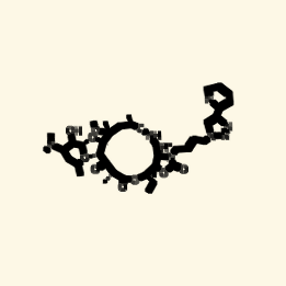 CC[C@H]1OC(=O)[C@H](C)C(=O)[C@H](C)[C@@H](O[C@@H]2OC(C)CC(N(C)C)C2O)[C@](C)(OC)C[C@@H](C)CN[C@H](C)[C@H]2N(C/C=C/Cn3cc(-c4ccccn4)nn3)C(=O)O[C@]12C